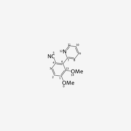 COc1ccc(C#N)c(-c2ccccn2)c1OC